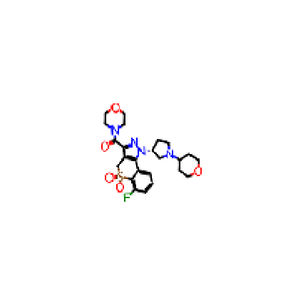 O=C(c1nn([C@@H]2CCN(C3CCOCC3)C2)c2c1CS(=O)(=O)c1c(F)cccc1-2)N1CCOCC1